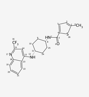 Cc1ccc(C(=O)N[C@H]2CC[C@@H](Nc3cc(C(F)(F)F)nc4ccccc34)CC2)s1